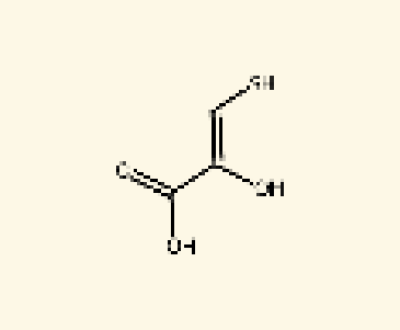 O=C(O)C(O)=CS